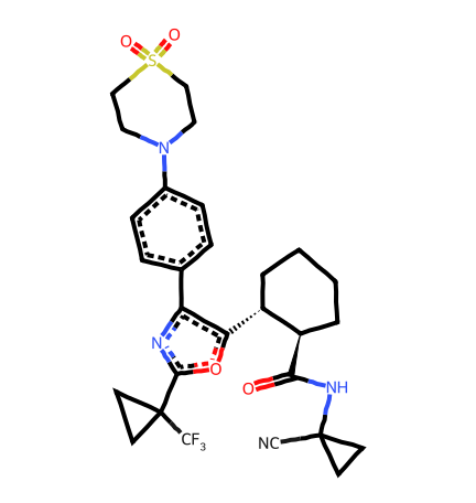 N#CC1(NC(=O)[C@@H]2CCCC[C@H]2c2oc(C3(C(F)(F)F)CC3)nc2-c2ccc(N3CCS(=O)(=O)CC3)cc2)CC1